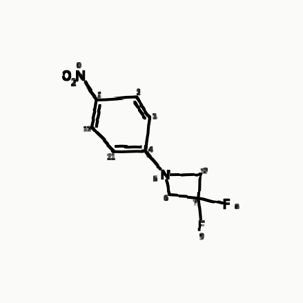 O=[N+]([O-])c1ccc(N2CC(F)(F)C2)cc1